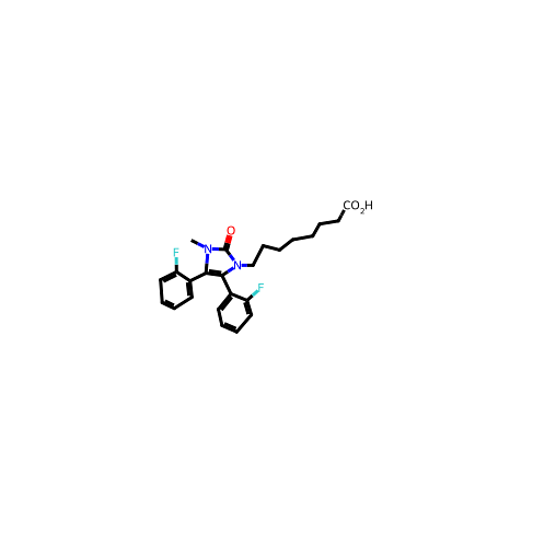 Cn1c(-c2ccccc2F)c(-c2ccccc2F)n(CCCCCCCC(=O)O)c1=O